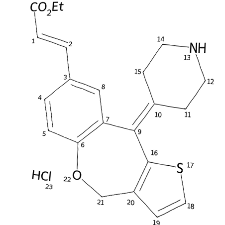 CCOC(=O)/C=C/c1ccc2c(c1)C(=C1CCNCC1)c1sccc1CO2.Cl